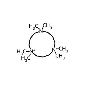 C[N+]1(C)CCC[N+](C)(C)CCC[N+](C)(C)CCC1